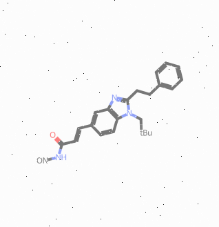 CC(C)(C)Cn1c(CCc2ccccc2)nc2cc(/C=C/C(=O)NN=O)ccc21